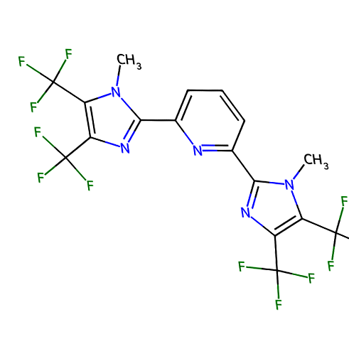 Cn1c(-c2cccc(-c3nc(C(F)(F)F)c(C(F)(F)F)n3C)n2)nc(C(F)(F)F)c1C(F)(F)F